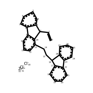 C=CC1c2ccccc2-c2cccc(CCC3c4ccccc4-c4ccccc43)c21.[Cl-].[Cl-].[Zr+2]